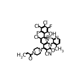 C=CC(=O)N1CCN(c2c(C#N)c(=O)n(-c3c(C)ccnc3C(C)C)c3nc(-c4c(O)c(F)c(Cl)c(Cl)c4F)c(Cl)cc23)CC1